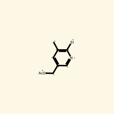 CCc1ncc(COC(C)=O)cc1C